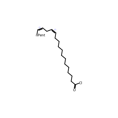 CCCCC/C=C\C/C=C\CCCCCCCCCCCC(=O)Cl